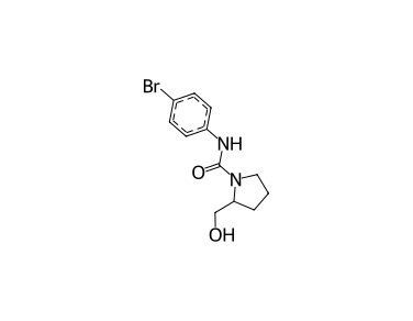 O=C(Nc1ccc(Br)cc1)N1CCCC1CO